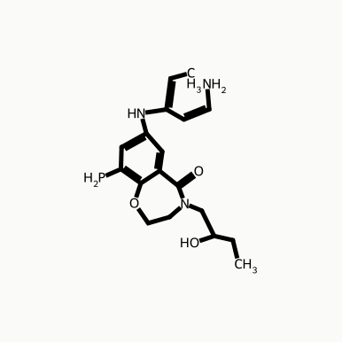 C/C=C(\C=C/N)Nc1cc(P)c2c(c1)C(=O)N(CC(O)CC)CCO2